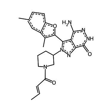 C/C=C/C(=O)N1CCCC(n2nc3c(=O)[nH]nc(N)c3c2-c2oc3ccc(C)cc3c2C)C1